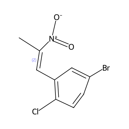 C/C(=C/c1cc(Br)ccc1Cl)[N+](=O)[O-]